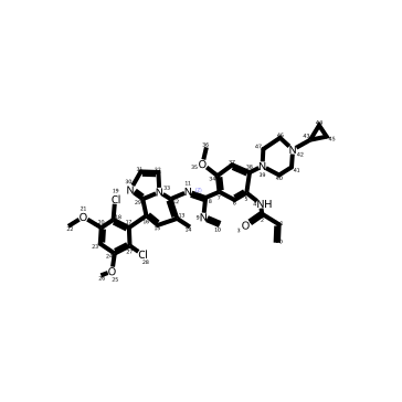 C=CC(=O)Nc1cc(/C(N=C)=N/c2c(C)cc(-c3c(Cl)c(OC)cc(OC)c3Cl)c3nccn23)c(OC)cc1N1CCN(C2CC2)CC1